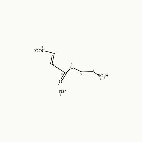 O=C([O-])C=CC(=O)OCCS(=O)(=O)O.[Na+]